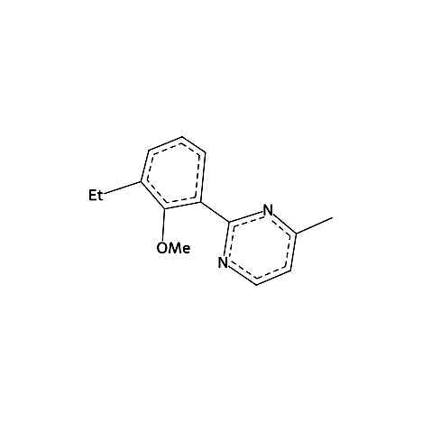 CCc1cccc(-c2nccc(C)n2)c1OC